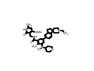 CCN(c1cc(-c2ccc3c(c2)CCC32CCN(CC(F)(F)F)CC2)cc(C(=O)NCc2c(OC)cc(C)[nH]c2=O)c1C)C1CCOCC1